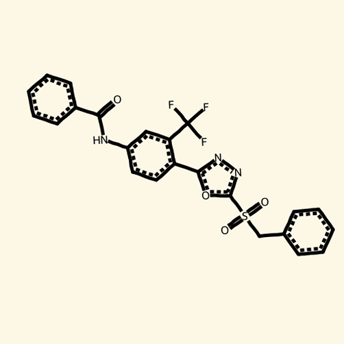 O=C(Nc1ccc(-c2nnc(S(=O)(=O)Cc3ccccc3)o2)c(C(F)(F)F)c1)c1ccccc1